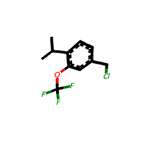 CC(C)c1ccc(CCl)cc1OC(F)(F)F